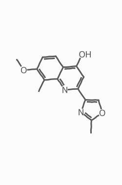 COc1ccc2c(O)cc(-c3coc(C)n3)nc2c1C